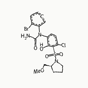 COC[C@@H]1CCCN1S(=O)(=O)c1c(Cl)ccc(N(C(N)=O)c2ccccc2Br)c1O